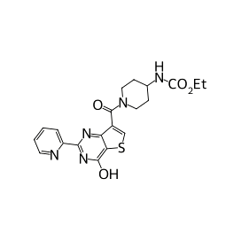 CCOC(=O)NC1CCN(C(=O)c2csc3c(O)nc(-c4ccccn4)nc23)CC1